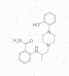 CC(CN1CCN(c2ccccc2O)CC1)Nc1ccccc1C(N)=O